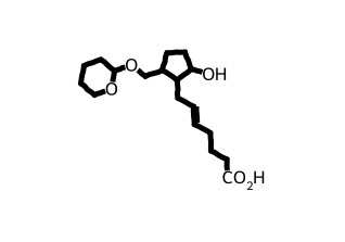 O=C(O)CCCC=CCC1C(O)CCC1COC1CCCCO1